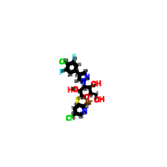 OC[C@H]1O[C@H](Sc2cc(Cl)cnc2Br)[C@H](O)[C@@H](n2cc(-c3cc(F)c(Cl)c(F)c3)cn2)[C@H]1O